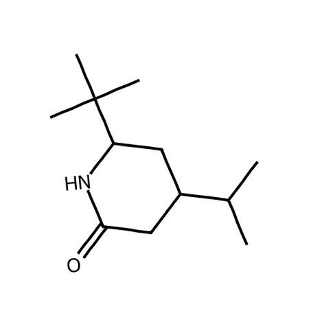 CC(C)C1CC(=O)NC(C(C)(C)C)C1